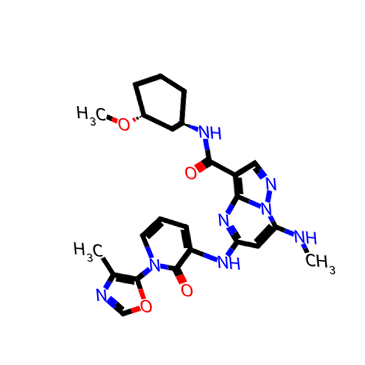 CNc1cc(Nc2cccn(-c3ocnc3C)c2=O)nc2c(C(=O)N[C@@H]3CCC[C@@H](OC)C3)cnn12